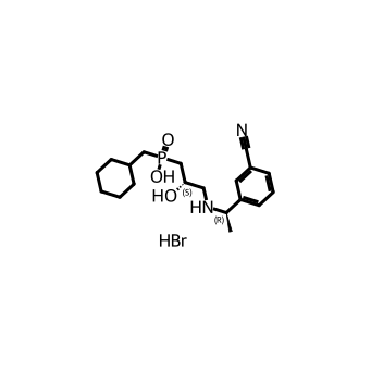 Br.C[C@@H](NC[C@H](O)CP(=O)(O)CC1CCCCC1)c1cccc(C#N)c1